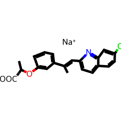 C/C(=C\c1ccc2ccc(Cl)cc2n1)c1cccc(OC(C)C(=O)[O-])c1.[Na+]